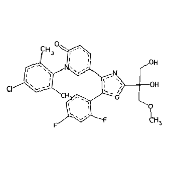 COCC(O)(CO)c1nc(-c2ccc(=O)n(-c3c(C)cc(Cl)cc3C)c2)c(-c2ccc(F)cc2F)o1